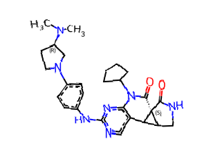 CN(C)[C@@H]1CCN(c2ccc(Nc3ncc4c(n3)N(C3CCCC3)C(=O)[C@]35C(=O)NCC3C45)cc2)C1